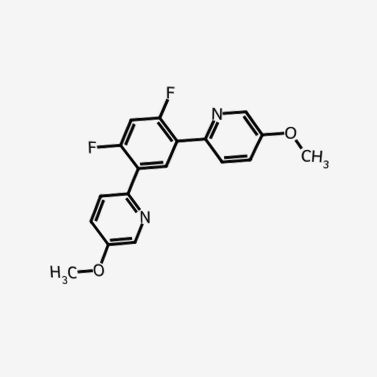 COc1ccc(-c2cc(-c3ccc(OC)cn3)c(F)cc2F)nc1